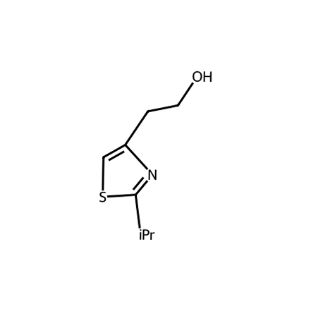 CC(C)c1nc(CCO)cs1